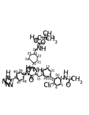 CC(=O)Nc1ccc(Cl)c(-c2cccc(C[C@H](NC(=O)[C@H]3CC[C@H](CNC(=O)OC(C)(C)C)CC3)C(=O)Nc3ccc(-c4nnn[nH]4)cc3)c2)c1